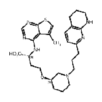 Cc1csc2ncnc(N[C@H](CCO[C@@H]3CCCN(CCCc4ccc5c(n4)NCCC5)C3)C(=O)O)c12